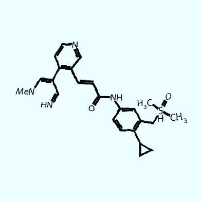 CN/C=C(\C=N)c1ccncc1/C=C/C(=O)Nc1ccc(C2CC2)c(C[SH](C)(C)=O)c1